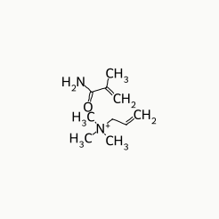 C=C(C)C(N)=O.C=CC[N+](C)(C)C